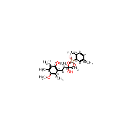 COc1c(C)c(C)c(OC)c(CC[C@@](C)(O)OS(=O)(=O)c2cc(C)ccc2C)c1C